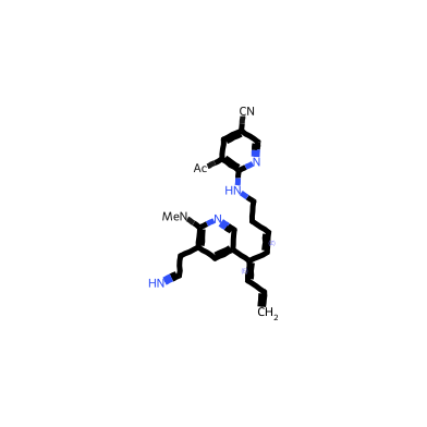 C=C/C=C(\C=C/CCNc1ncc(C#N)cc1C(C)=O)c1cnc(NC)c(CC=N)c1